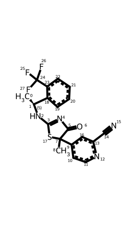 C[C@H](NC1=NC(=O)C(C)(c2ccnc(C#N)c2)S1)c1ccccc1C(F)(F)F